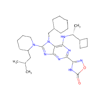 CC(C)CC1CCCCN1c1nc2nc(-c3noc(=O)[nH]3)nc(N[C@H](C)C3CCC3)c2n1CC1CCCCC1